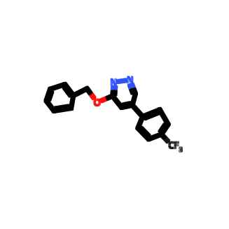 FC(F)(F)c1ccc(-c2cnnc(OCc3ccccc3)c2)cc1